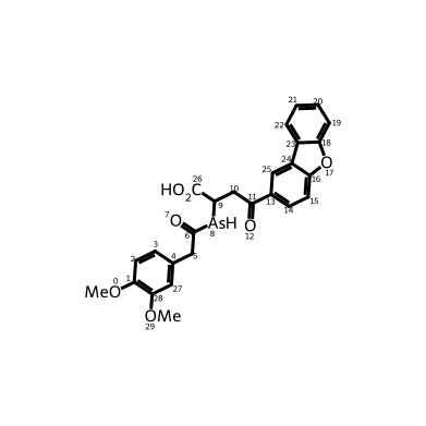 COc1ccc(CC(=O)[AsH]C(CC(=O)c2ccc3oc4ccccc4c3c2)C(=O)O)cc1OC